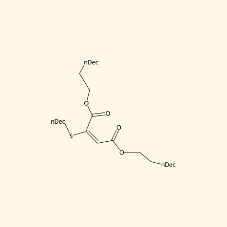 CCCCCCCCCCCCOC(=O)/C=C(/SCCCCCCCCCC)C(=O)OCCCCCCCCCCCC